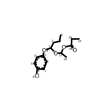 CCCC(Oc1ccc(Cl)cc1)OC(C)OC(=O)CC